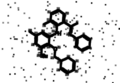 C/C(=N\c1ccccc1)c1cccc(C)c1Pc1cc(C)cc(C(C)(C)C)c1OCC1C=CC=CC1